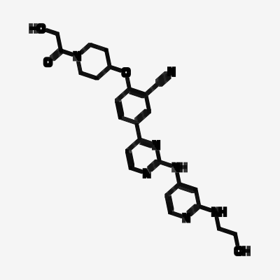 N#Cc1cc(-c2ccnc(Nc3ccnc(NCCO)c3)n2)ccc1OC1CCN(C(=O)CO)CC1